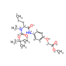 CCCC(C(=O)Nc1ccc(OCC(=O)OC)cc1)N(C)C(=O)OC(C)(C)C